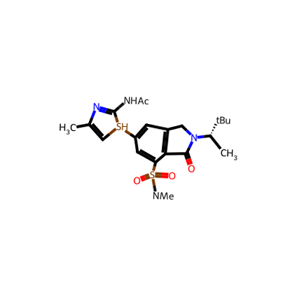 CNS(=O)(=O)c1cc([SH]2C=C(C)N=C2NC(C)=O)cc2c1C(=O)N([C@@H](C)C(C)(C)C)C2